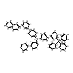 c1ccc(-c2cccc(N(c3ccc(-c4cccc(-c5ccc6ccccc6c5)c4)cc3)c3ccc(-c4cccc5c4-c4ccccc4C5(c4ccccc4)c4ccccc4)cc3)c2)cc1